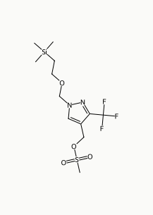 C[Si](C)(C)CCOCn1cc(COS(C)(=O)=O)c(C(F)(F)F)n1